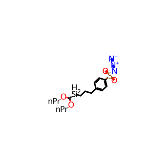 CCCOC(OCCC)[SiH2]CCCc1ccc(S(=O)(=O)N=[N+]=[N-])cc1